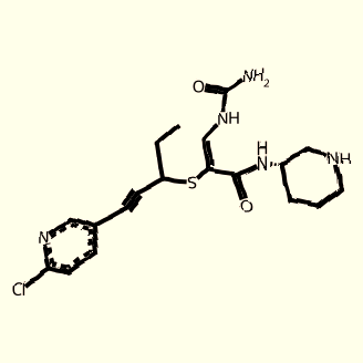 CCC(C#Cc1ccc(Cl)nc1)S/C(=C/NC(N)=O)C(=O)N[C@H]1CCCNC1